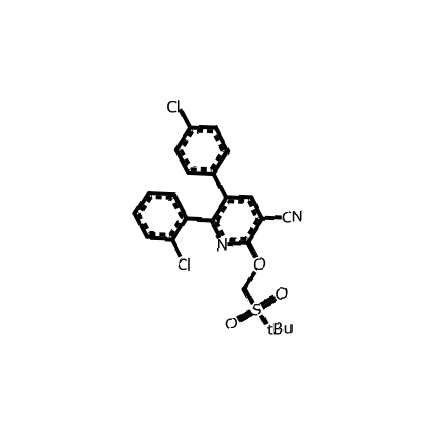 CC(C)(C)S(=O)(=O)COc1nc(-c2ccccc2Cl)c(-c2ccc(Cl)cc2)cc1C#N